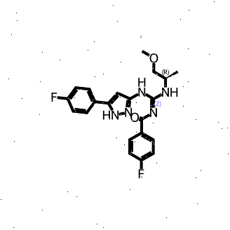 COC[C@@H](C)N/C(=N/C(=O)c1ccc(F)cc1)Nc1cc(-c2ccc(F)cc2)[nH]n1